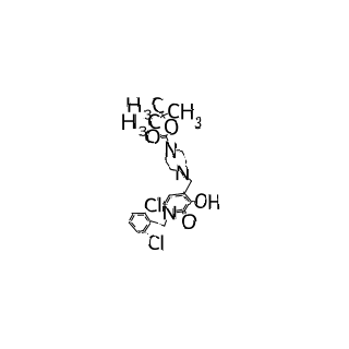 CC(C)(C)OC(=O)N1CCN(Cc2ccn(Cc3c(Cl)cccc3Cl)c(=O)c2O)CC1